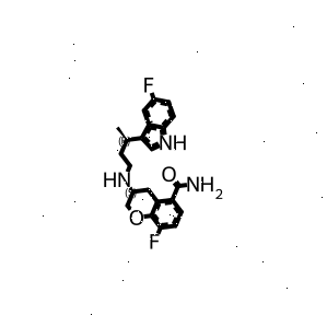 C[C@H](CCN[C@@H]1COc2c(F)ccc(C(N)=O)c2C1)c1c[nH]c2ccc(F)cc12